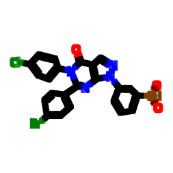 O=c1c2cnn(-c3cccc([SH](=O)=O)c3)c2nc(-c2ccc(Br)cc2)n1-c1ccc(Cl)cc1